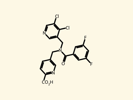 O=C(O)c1ccc(CN(Cc2cncc(Cl)c2Cl)C(=O)c2cc(F)cc(F)c2)cn1